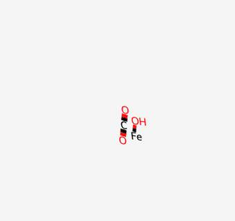 O=C=O.[OH][Fe]